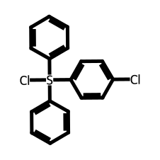 Clc1ccc(S(Cl)(c2ccccc2)c2ccccc2)cc1